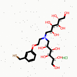 Cl.OC[C@@H](O)[C@@H](O)[C@H](O)[C@@H](O)CN(CCOc1cccc(CS)c1)C[C@H](O)[C@@H](O)[C@H](O)[C@H](O)CO